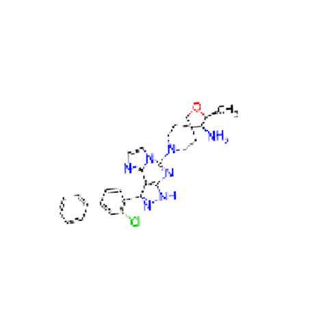 C[C@@H]1OCC2(CCN(c3nc4[nH]nc(-c5ccc(-c6ccccc6)cc5Cl)c4c4nccn34)CC2)[C@@H]1N